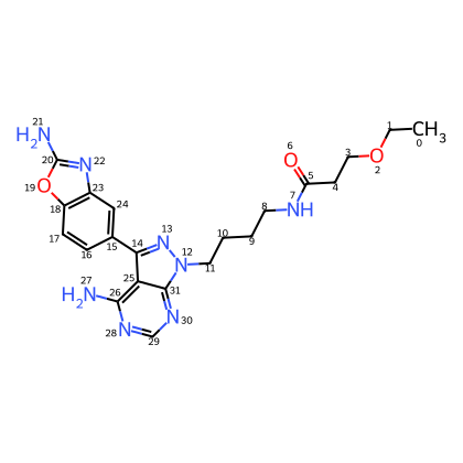 CCOCCC(=O)NCCCCn1nc(-c2ccc3oc(N)nc3c2)c2c(N)ncnc21